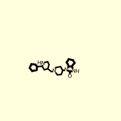 O=c1[nH]c2ccccc2n1C1CCN(CC2CCNC(c3ccccc3)C2)CC1